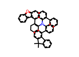 CC1(C)c2ccccc2-c2c(-c3ccccc3N(C3=C(c4cccc5oc6ccccc6c45)CCC=C3)c3ccccc3-c3ccccc3)cccc21